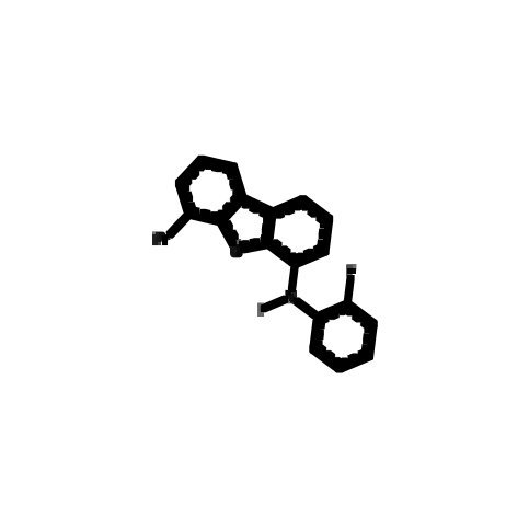 CC(C)c1cccc2c1oc1c(N(I)c3ccccc3F)cccc12